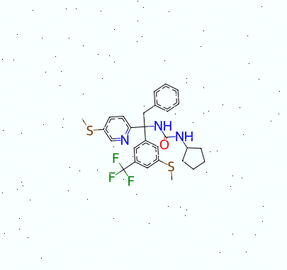 CSc1ccc(C(Cc2ccccc2)(NC(=O)NC2CCCC2)c2cc(SC)cc(C(F)(F)F)c2)nc1